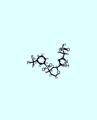 CC(C)(c1cc(C2CC(C)(S(=O)(=O)c3cccc(C(F)(F)F)c3)CCO2)[nH]n1)S(C)(=O)=O